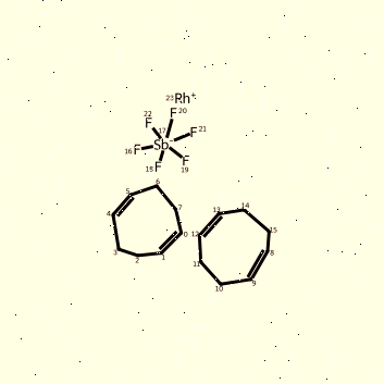 C1=CCCC=CCC1.C1=CCCC=CCC1.[F][Sb-]([F])([F])([F])([F])[F].[Rh+]